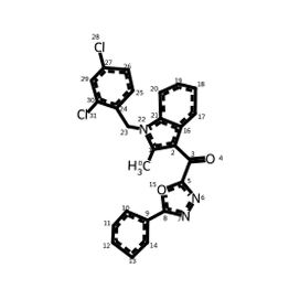 Cc1c(C(=O)c2nnc(-c3ccccc3)o2)c2ccccc2n1Cc1ccc(Cl)cc1Cl